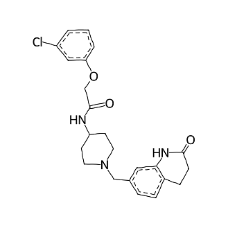 O=C1CCc2ccc(CN3CCC(NC(=O)COc4cccc(Cl)c4)CC3)cc2N1